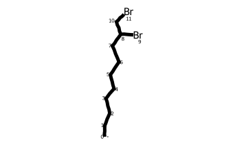 [CH2]CCCCCCCC(Br)CBr